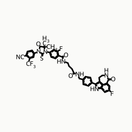 CC1(C)C(=O)N(c2ccc(C#N)c(C(F)(F)F)c2)C(=S)N1c1ccc(C(=O)NCCCC(=O)NCc2ccc(-c3[nH]c4cc(F)cc5c4c3CCNC5=O)cc2)c(F)c1